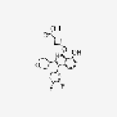 O=C(O)C1CC(Oc2nc(C3CCOCC3)c(-c3ccc(F)c(F)c3)c3cccc(O)c23)C1